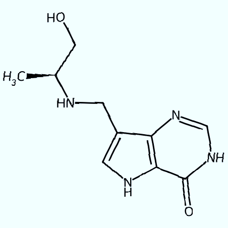 C[C@@H](CO)NCc1c[nH]c2c(=O)[nH]cnc12